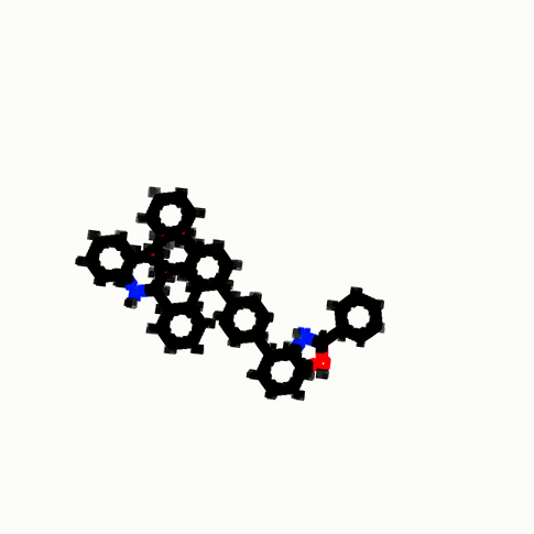 c1ccc(-c2nc3c(-c4ccc(-c5ccc6ccccc6c5-c5ccccc5-c5cc(-c6ccccc6)c6ccccc6n5)cc4)cccc3o2)cc1